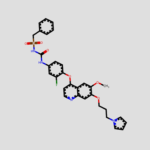 COc1cc2c(Oc3ccc(NC(=O)NS(=O)(=O)Cc4ccccc4)cc3F)ccnc2cc1OCCCn1cccc1